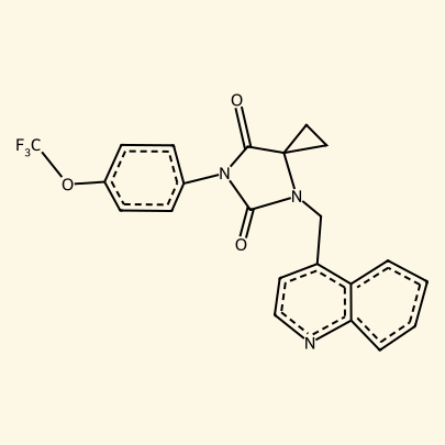 O=C1N(c2ccc(OC(F)(F)F)cc2)C(=O)C2(CC2)N1Cc1ccnc2ccccc12